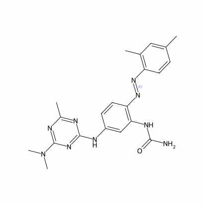 Cc1ccc(/N=N/c2ccc(Nc3nc(C)nc(N(C)C)n3)cc2NC(N)=O)c(C)c1